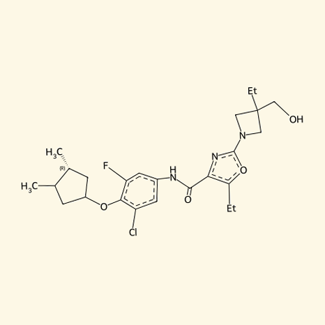 CCc1oc(N2CC(CC)(CO)C2)nc1C(=O)Nc1cc(F)c(OC2CC(C)[C@H](C)C2)c(Cl)c1